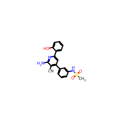 CS(=O)(=O)Nc1cccc(-c2cc(-c3ccccc3O)nc(N)c2C#N)c1